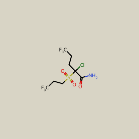 NC(=O)C(Cl)(CCC(F)(F)F)S(=O)(=O)CCC(F)(F)F